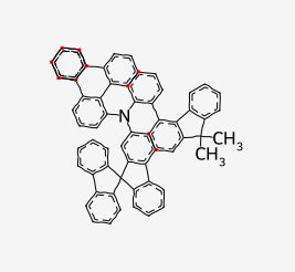 CC1(C)c2ccccc2-c2c(-c3ccccc3N(c3ccc4c(c3)C3(c5ccccc5-c5ccccc53)c3ccccc3-4)c3cccc(-c4ccccc4)c3-c3ccccc3-c3ccccc3)cccc21